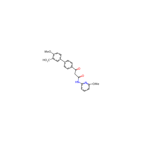 COc1cccc(NC(=O)CC(=O)c2ccc(-c3ccc(OC)c(C(=O)O)c3)cc2)n1